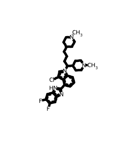 CN1CCC(CCCC(C2CCN(C)CC2)n2cc(Cl)c3c(-c4nc5cc(F)c(F)cc5[nH]4)cccc32)CC1